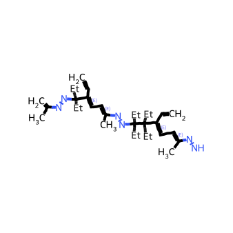 C=C/C(=C\C=C(/C)N=NC(CC)(CC)C(CC)(CC)/C(C=C)=C/C=C(\C)N=N)C(CC)(CC)N=NC(=C)C